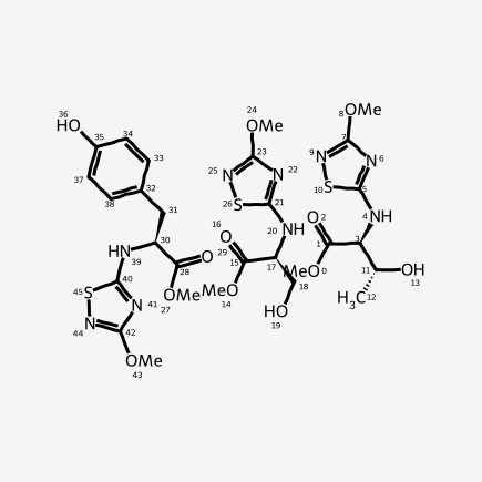 COC(=O)[C@@H](Nc1nc(OC)ns1)[C@@H](C)O.COC(=O)[C@H](CO)Nc1nc(OC)ns1.COC(=O)[C@H](Cc1ccc(O)cc1)Nc1nc(OC)ns1